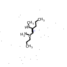 CCC/C(=C/N(N)CCC)NC